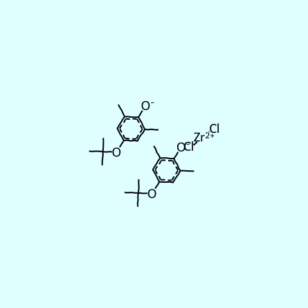 Cc1cc(OC(C)(C)C)cc(C)c1[O-].Cc1cc(OC(C)(C)C)cc(C)c1[O-].[Cl][Zr+2][Cl]